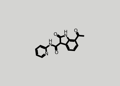 CC(=O)c1cccc2c1NC(=O)C2C(=O)Nc1ccccn1